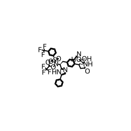 N#Cc1cc(C[C@@H](c2ncc(-c3ccccc3)[nH]2)N(OC(=O)C(F)(F)F)S(=O)(=O)c2cccc(C(F)(F)F)c2)ccc1C1CC(=O)NS1(O)O